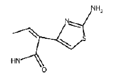 CC=C(C([NH])=O)c1csc(N)n1